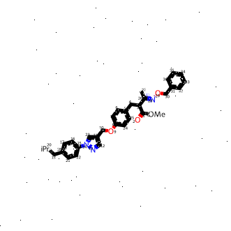 COC(=O)C(Cc1ccc(OCc2cnn(-c3ccc(CC(C)C)cc3)c2)cc1)/C(C)=N/OCc1ccccc1